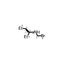 CC/C=C(\CC)NCBr